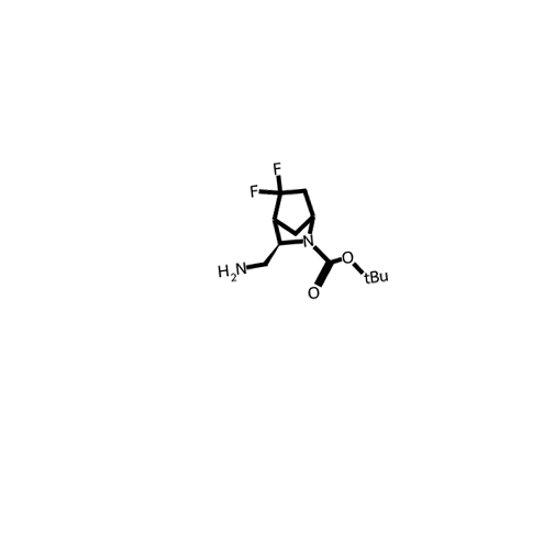 CC(C)(C)OC(=O)N1C2CC([C@@H]1CN)C(F)(F)C2